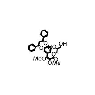 COC(C(=O)OCC(O)CO)=C(OC)c1ccccc1.O=C(CC(=O)c1ccccc1)c1ccccc1